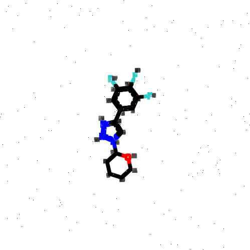 Fc1cc(-c2cn(C3CCCCO3)nn2)cc(F)c1F